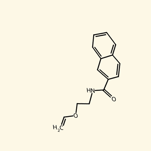 C=COCCNC(=O)c1ccc2ccccc2c1